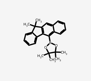 CC1(C)c2ccccc2-c2c1cc1ccccc1c2B1OC(C)(C)C(C)(C)O1